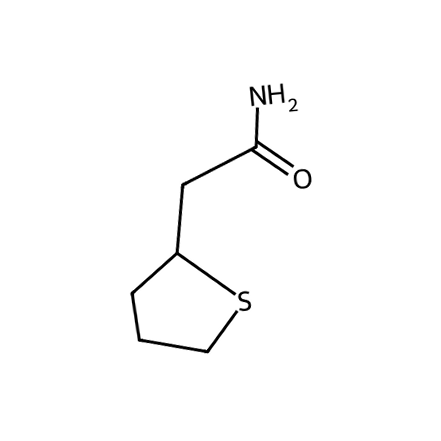 NC(=O)CC1CCCS1